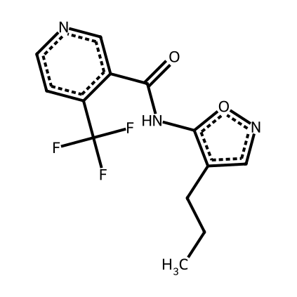 CCCc1cnoc1NC(=O)c1cnccc1C(F)(F)F